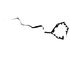 O=C(O)CCCCCOc1cccnc1